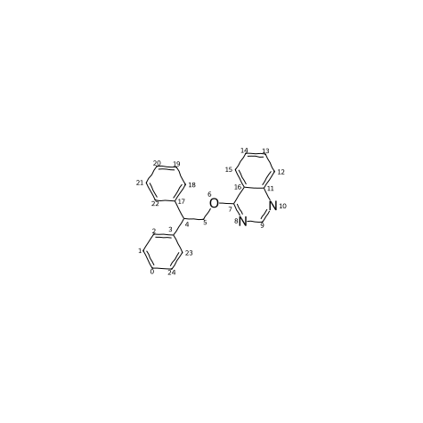 c1ccc(C(COc2ncnc3ccccc23)c2ccccc2)cc1